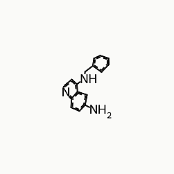 Nc1ccc2nccc(NCc3ccccc3)c2c1